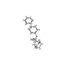 c1ccc(-c2ccc(CNC3CN4CCC3CC4)cc2)cc1